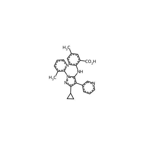 Cc1ccc(Nc2c(-c3cccnc3)c(C3CC3)nn2-c2ncccc2C)c(C(=O)O)c1